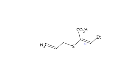 C=CCS/C(=C/CC)C(=O)O